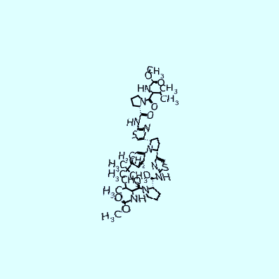 C=C(/C=C\C(=C/C)N1[C@H](c2csc(NC(=O)[C@@H]3CCCN3C(=O)[C@@H](NC(=O)OC)C(C)C)n2)CC[C@H]1c1csc(NC(=O)[C@@H]2CCCN2C(=O)[C@@H](NC(=O)OC)C(C)C)n1)C(C)(C)C